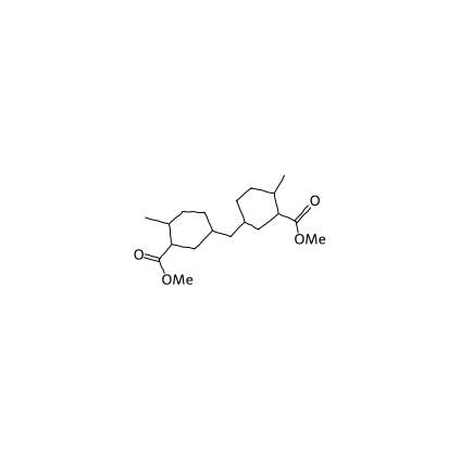 COC(=O)C1CC(CC2CCC(C)C(C(=O)OC)C2)CCC1C